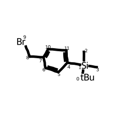 CC(C)(C)[Si](C)(C)c1ccc(CBr)cc1